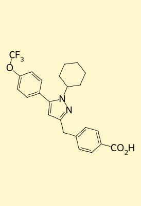 O=C(O)c1ccc(Cc2cc(-c3ccc(OC(F)(F)F)cc3)n(C3CCCCC3)n2)cc1